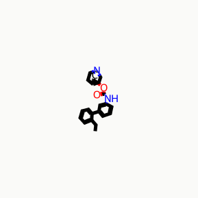 CCc1ccccc1-c1cccc(NC(=O)OC2CN3CCC2CC3)c1